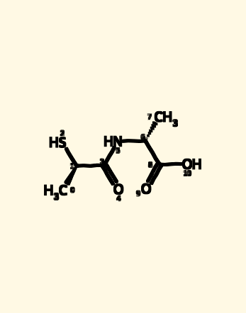 C[C@@H](S)C(=O)N[C@H](C)C(=O)O